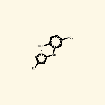 CCc1cc(Nc2cc([N+](=O)[O-])ccc2C(=O)O)[nH]n1